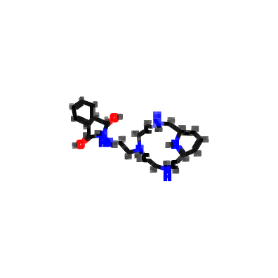 O=C1c2ccccc2C(=O)N1NCCN1CCNCc2cccc(n2)CNCC1